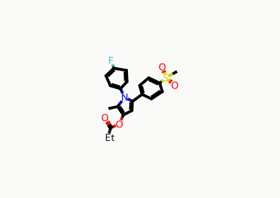 CCC(=O)Oc1cc(-c2ccc(S(C)(=O)=O)cc2)n(-c2ccc(F)cc2)c1C